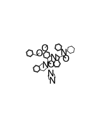 COc1cc(-n2cc(C(=O)N(c3ccccc3)C3CCCCC3)c3ccccc32)c(C(=O)N2Cc3ccccc3C[C@H]2CN2CCN(C)CC2)cc1OCc1ccccc1